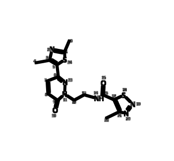 Cc1nc(C)c(-c2ccc(=O)n(CCNC(=O)c3snnc3C)n2)s1